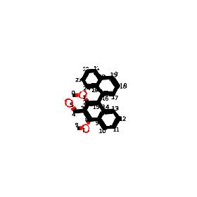 COc1c(C=O)c(OC)c2ccccc2c1-c1cccc2ccccc12